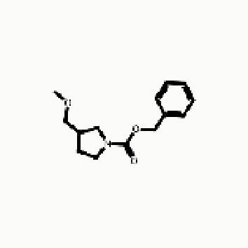 COCC1CCN(C(=O)OCc2ccccc2)C1